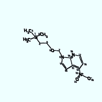 C[Si](C)(C)CCOCn1ccc2c([N+](=O)[O-])ccnc21